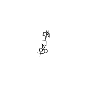 Cn1ccc(C2CCN(C(=O)OC(C)(C)C)CC2)n1